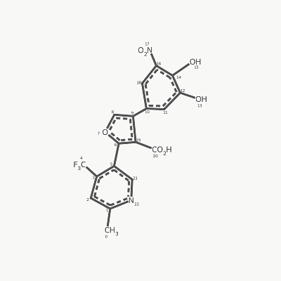 Cc1cc(C(F)(F)F)c(-c2occ(-c3cc(O)c(O)c([N+](=O)[O-])c3)c2C(=O)O)cn1